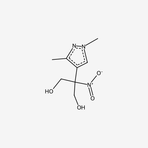 Cc1nn(C)cc1C(CO)(CO)[N+](=O)[O-]